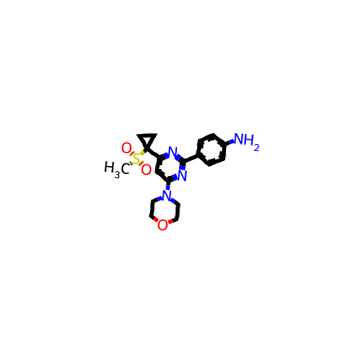 CS(=O)(=O)C1(c2cc(N3CCOCC3)nc(-c3ccc(N)cc3)n2)CC1